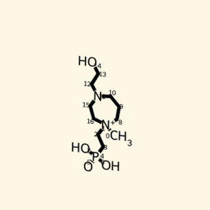 C[N+]1(CCP(=O)(O)O)CCCN(CCO)CC1